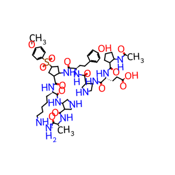 COc1ccc(S(=O)(=O)C2CC(NC(=O)[C@@H](CCc3ccc(O)cc3)NC(=O)C3CNCC3NC(=O)[C@@H](CCC(=O)O)NC(=O)C3CCCC3NC(C)=O)C(C(=O)N[C@H](CCCCCN)C(=O)NC3CNCC3C(=O)N[C@@H](C)C(N)=O)C2)cc1